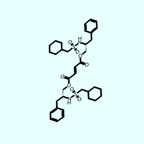 O=C(/C=C/C(=O)OC[C@@H](Cc1ccccc1)NS(=O)(=O)CC1CCCCC1)OC[C@@H](Cc1ccccc1)NS(=O)(=O)CC1CCCCC1